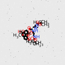 COc1ccc2c3c1O[C@H]1C(OC(=O)[C@H](Cc4cn(C(=O)OC(C)(C)C)cn4)NC(=O)CCNC(=O)OC(C)(C)C)=CC[C@@]4(O)[C@@H](C2)C(C)CC[C@]314